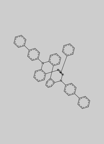 c1ccc(-c2ccc(N3c4ccccc4C4(c5ccccc53)c3ccccc3N(c3ccc(-c5ccccc5)cc3)c3ccc(-c5ccccc5)cc34)cc2)cc1